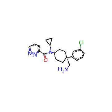 NC[C@]1(c2cccc(Cl)c2)CC[C@H](N(C(=O)c2cccnn2)C2CC2)CC1